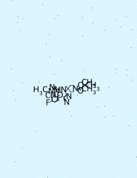 CC(C)n1ncnc1-c1cc(F)ccc1Oc1cncnc1C1NCC12CCN(C(=O)OC(C)(C)C)CC2